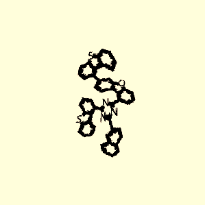 c1ccc2cc(-c3nc(-c4cccc5oc6cc(-c7cccc8sc9ccccc9c78)ccc6c45)nc(-c4cccc5sc6ccccc6c45)n3)ccc2c1